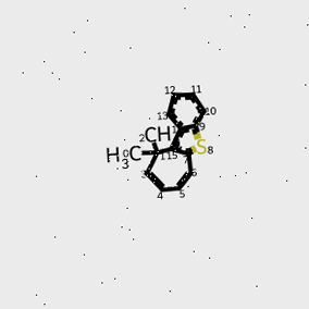 CC1(C)C=CC=Cc2sc3ccccc3c21